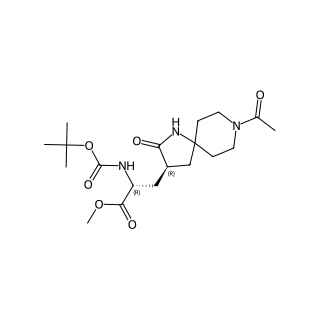 COC(=O)[C@@H](C[C@@H]1CC2(CCN(C(C)=O)CC2)NC1=O)NC(=O)OC(C)(C)C